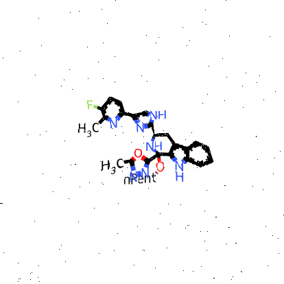 CCCCCOC1(c2nnc(C)o2)N[C@@H](c2nc(-c3ccc(F)c(C)n3)c[nH]2)Cc2c1[nH]c1ccccc21